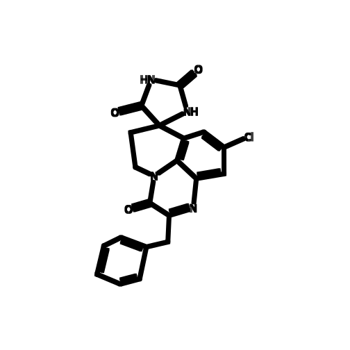 O=C1NC(=O)C2(CCn3c(=O)c(Cc4ccccc4)nc4cc(Cl)cc2c43)N1